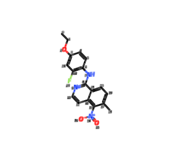 CCOc1ccc(Nc2nccc3c([N+](=O)[O-])c(C)ccc23)c(F)c1